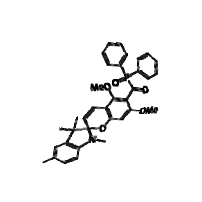 COc1cc2c(c(OC)c1C(=O)P(=O)(c1ccccc1)c1ccccc1)C=CC1(O2)N(C)c2ccc(C)cc2C1(C)C